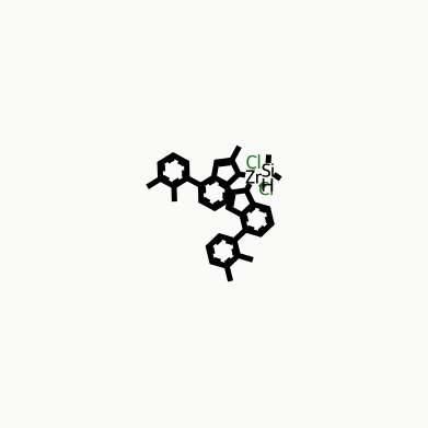 CC1=Cc2c(-c3cccc(C)c3C)cccc2[CH]1[Zr]([Cl])([Cl])([CH]1C(C)=Cc2c(-c3cccc(C)c3C)cccc21)[SiH](C)C